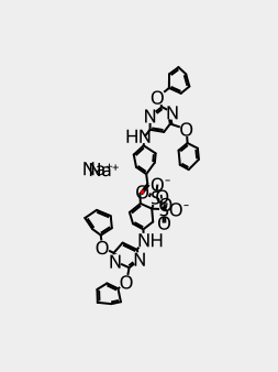 O=S(=O)([O-])C1(S(=O)(=O)[O-])CC(Nc2cc(Oc3ccccc3)nc(Oc3ccccc3)n2)=CC=C1C=Cc1ccc(Nc2cc(Oc3ccccc3)nc(Oc3ccccc3)n2)cc1.[Na+].[Na+]